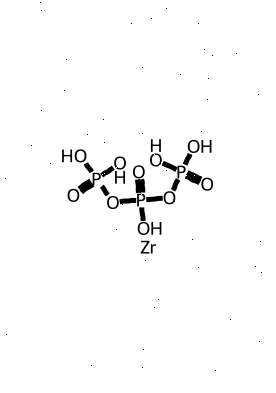 O=P(O)(O)OP(=O)(O)OP(=O)(O)O.[Zr]